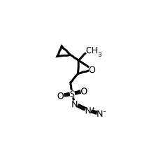 CC1(C2CC2)OC1CS(=O)(=O)N=[N+]=[N-]